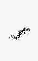 CCC(=O)C(CC(=O)OC(C)(C)C)Nc1ccc(C2(O)CCN(C(=O)OC(C)(C)C)CC2)cc1